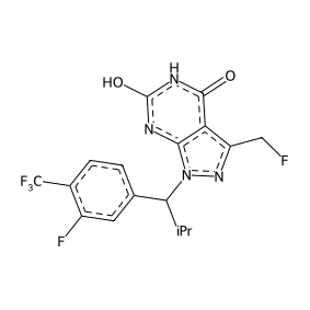 CC(C)C(c1ccc(C(F)(F)F)c(F)c1)n1nc(CF)c2c(=O)[nH]c(O)nc21